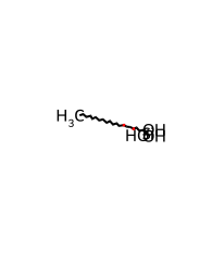 CCCCCCCCCCCCCCCCCCCC[Si](O)(O)O